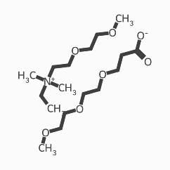 CC[N+](C)(C)CCOCCOC.COCCOCCOCCC(=O)[O-]